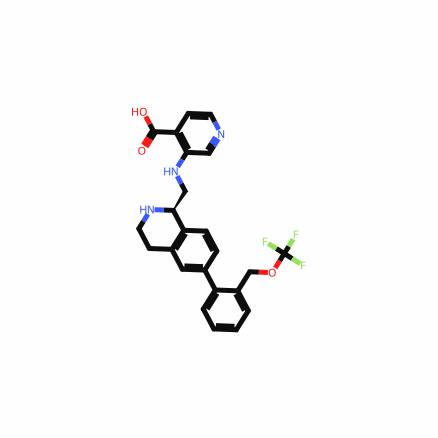 O=C(O)c1ccncc1NC[C@@H]1NCCc2cc(-c3ccccc3COC(F)(F)F)ccc21